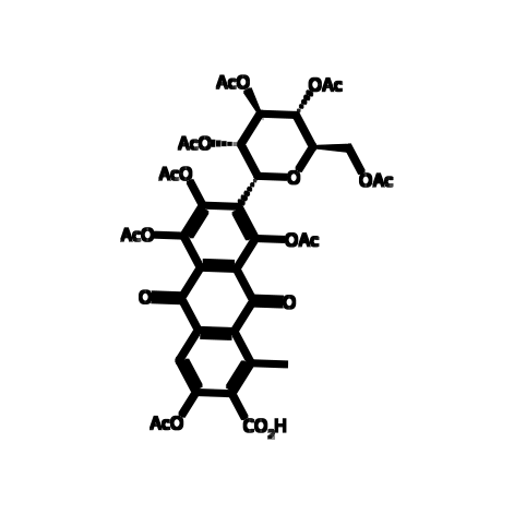 CC(=O)OC[C@H]1O[C@H](c2c(OC(C)=O)c(OC(C)=O)c3c(c2OC(C)=O)C(=O)c2c(cc(OC(C)=O)c(C(=O)O)c2C)C3=O)[C@H](OC(C)=O)[C@@H](OC(C)=O)[C@@H]1OC(C)=O